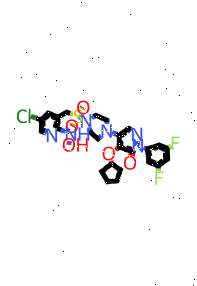 O=c1c(OC2CCCC2)c(N2CCN(S(=O)(=O)Cc3cc(Cl)cnc3NO)CC2)cnn1-c1cc(F)cc(F)c1